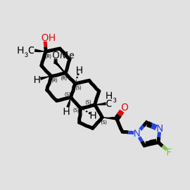 COC[C@]12CC[C@@](C)(O)C[C@H]1CC[C@H]1[C@@H]3CC[C@H](C(=O)Cn4cnc(F)c4)[C@@]3(C)CC[C@@H]12